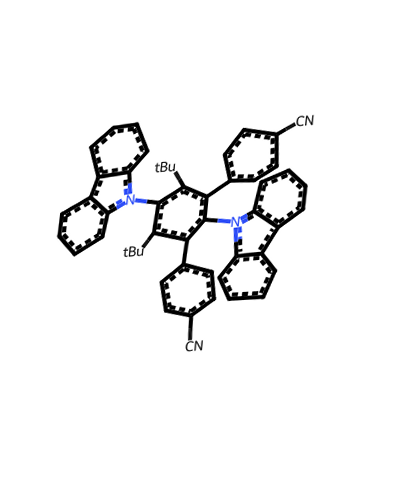 CC(C)(C)c1c(-c2ccc(C#N)cc2)c(-n2c3ccccc3c3ccccc32)c(-c2ccc(C#N)cc2)c(C(C)(C)C)c1-n1c2ccccc2c2ccccc21